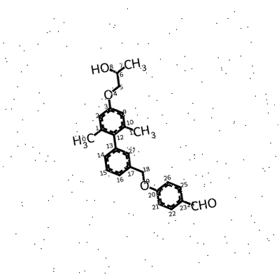 Cc1cc(OCC(C)O)cc(C)c1-c1cccc(COc2ccc(C=O)cc2)c1